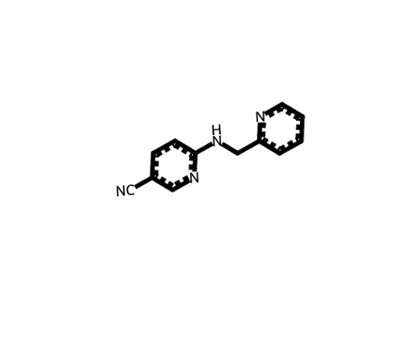 N#Cc1ccc(NCc2ccccn2)nc1